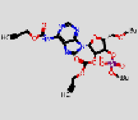 C#CCOC(=O)Nc1ncnc2c1ncn2[C@@H]1O[C@H](COC(C)(C)C)C(OP(=O)(O)OC(C)(C)C)[C@@H]1OC(=O)OCC#C